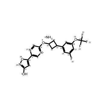 N.Oc1cc(-c2cnc(OC3CC(c4cc(F)cc(OC(F)(F)F)c4)C3)cn2)on1